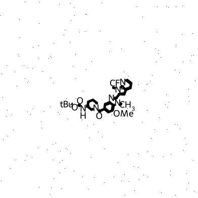 COc1cc(C(=O)N2CCC[C@@H](NC(=O)OC(C)(C)C)C2)cc2nc(-c3cc4cccnc4n3CC(F)(F)F)n(C)c12